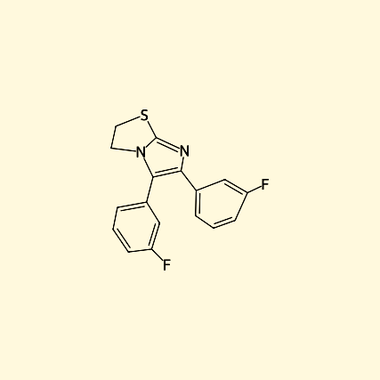 Fc1cccc(-c2nc3n(c2-c2cccc(F)c2)CCS3)c1